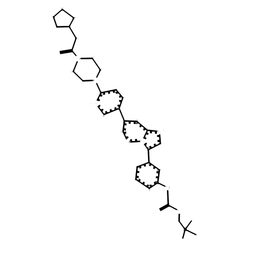 O=C(NCC(F)(F)F)Nc1cccc(-c2cnc3cc(-c4ccc(N5CCN(C(=O)CC6CCCC6)CC5)nc4)cnn23)c1